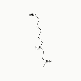 CCCCCCCCCCC[SiH2]CC[SiH](C)C